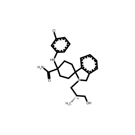 C[C@@H](CO)CN1Cc2ccccc2C12CCC(Nc1cccc(Cl)c1)(C(N)=O)CC2